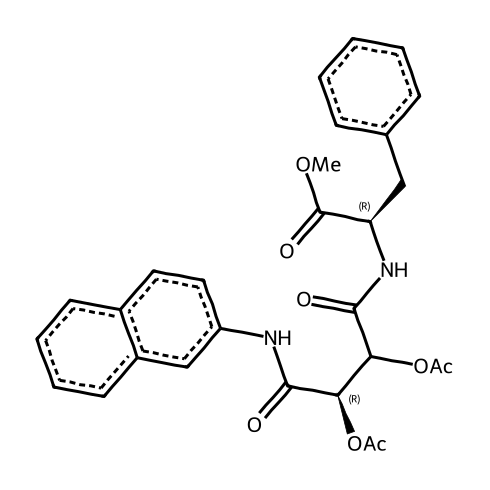 COC(=O)[C@@H](Cc1ccccc1)NC(=O)C(OC(C)=O)[C@@H](OC(C)=O)C(=O)Nc1ccc2ccccc2c1